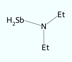 CC[N]([SbH2])CC